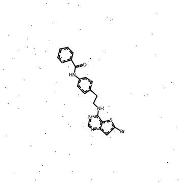 O=C(Nc1ccc(CCNc2ncnc3cc(Br)sc23)cc1)c1ccccc1